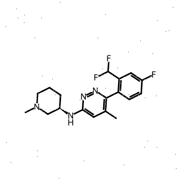 Cc1cc(N[C@@H]2CCCN(C)C2)nnc1-c1ccc(F)cc1C(F)F